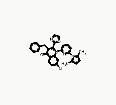 Cc1ccc(C)n1-c1cccc(-n2c(-c3ncco3)c(Cc3ccccc3)c(=O)c3ccc(Cl)cc32)n1